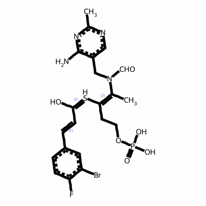 C/C(=C(CCOP(=O)(O)O)/[SH]=C(O)\C=C\c1ccc(F)c(Br)c1)N(C=O)Cc1cnc(C)nc1N